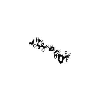 Cc1c(OC(C)C)ncnc1C(=O)N[C@H]1C[C@@H](C(C)(C)S(=O)(=O)c2cccc(C(F)(F)F)c2)C1